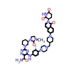 CN1CCN([C@@H]2CCCN(c3nnc(C(N)=O)c(Nc4ccc(N5CCN(CC6CCN(c7ccc8c(=O)n(C9CCC(=O)NC9=O)ccc8c7)CC6)CC5)c(F)c4)n3)C2)C1=O